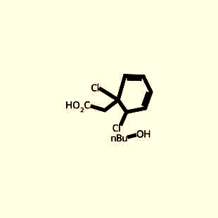 CCCCO.O=C(O)CC1(Cl)C=CC=CC1Cl